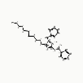 CCCCCCCCCCCn1cc(CC(C)c2ccccc2)[n+](C)c1Cc1ccccc1